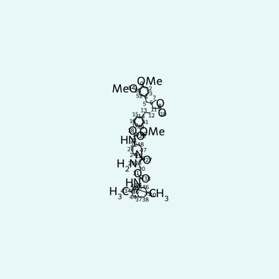 COc1ccc(C[C@H]2COC(=O)[C@@H]2CCc2ccc(OC(=O)NC3CCN(C(=O)[C@@H](N)COC(=O)NC45CC6CC(C)(CC(C)(C6)C4)C5)CC3)c(OC)c2)cc1OC